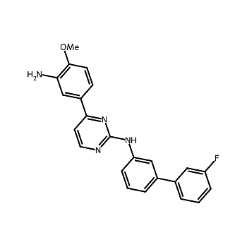 COc1ccc(-c2ccnc(Nc3cccc(-c4cccc(F)c4)c3)n2)cc1N